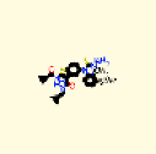 CSc1cccc(N(C(=S)NN)[C@H]2CCc3sc(NC(=O)C4CC4)c(C(=O)NCC4CC4)c3C2)c1C